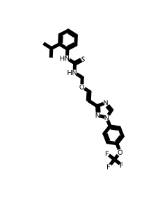 CC(C)c1ccccc1NC(=S)NCO/C=C/c1ncn(-c2ccc(OC(F)(F)F)cc2)n1